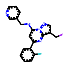 Fc1ccccc1-c1cc(NCc2cccnc2)n2ncc(CI)c2n1